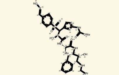 CC[C@H](C)[C@H](NC(=O)N(C)C(c1csc(NC(=O)OC)n1)S(=O)(=O)c1ccc(C=NO)cc1)C(=O)N[C@@H](Cc1ccccc1)[C@H](O)CNCC(C)C